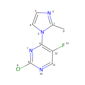 Cc1nccn1-c1nc(Cl)ncc1F